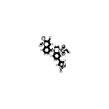 CCS(=O)(=O)N1CCN(c2cccc3c2cc(C)c(=O)n3C)c2ccc(-c3cnn(C)c3)cc21